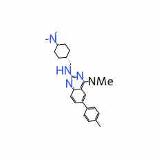 CNc1nc(NC[C@H]2CC[C@H](N(C)C)CC2)nc2ccc(-c3ccc(C)cc3)cc12